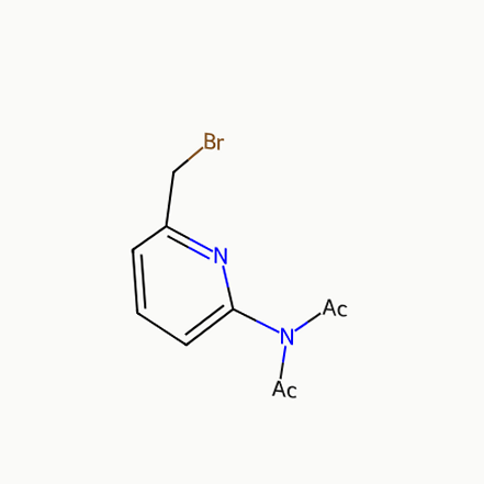 CC(=O)N(C(C)=O)c1cccc(CBr)n1